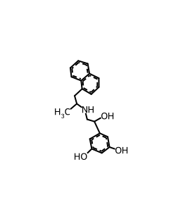 CC(Cc1cccc2ccccc12)NCC(O)c1cc(O)cc(O)c1